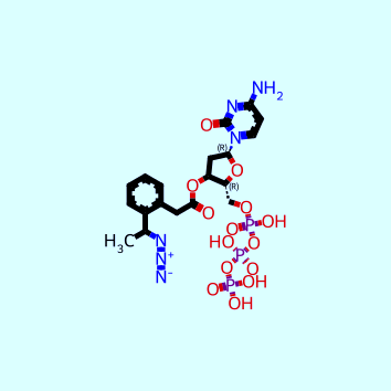 CC(N=[N+]=[N-])c1ccccc1CC(=O)OC1C[C@H](n2ccc(N)nc2=O)O[C@@H]1COP(=O)(O)OP(=O)(O)OP(=O)(O)O